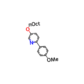 CCCCCCCCOc1ccc(-c2ccc(OC)cc2)nc1